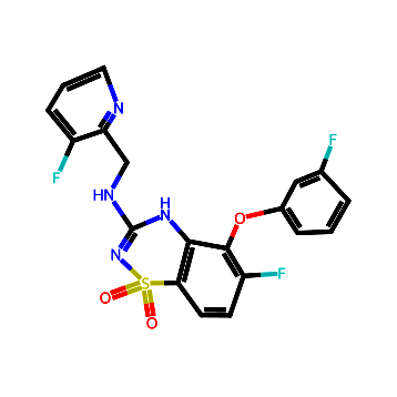 O=S1(=O)N=C(NCc2ncccc2F)Nc2c1ccc(F)c2Oc1cccc(F)c1